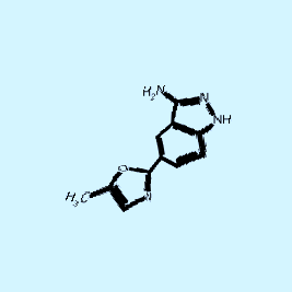 Cc1cnc(-c2ccc3[nH]nc(N)c3c2)o1